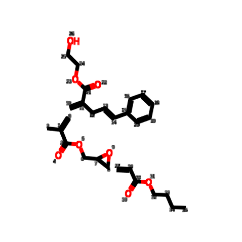 C=C(C)C(=O)OCC1CO1.C=C(CC=Cc1ccccc1)C(=O)OCCO.C=CC(=O)OCCCC